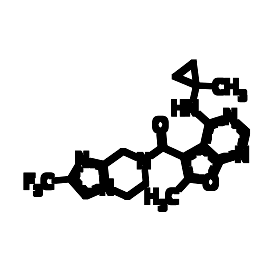 Cc1oc2ncnc(NC3(C)CC3)c2c1C(=O)N1CCn2cc(C(F)(F)F)nc2C1